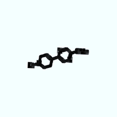 CCN1CC=C(c2cnc(OC)cn2)CC1